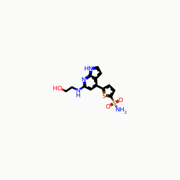 NS(=O)(=O)c1ccc(-c2cc(NCCO)nc3[nH]ccc23)s1